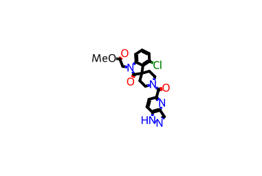 COC(=O)CN1C(=O)C2(CCN(C(=O)c3ccc4[nH]ncc4n3)CC2)c2c(Cl)cccc21